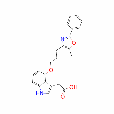 Cc1oc(-c2ccccc2)nc1CCCOc1cccc2[nH]cc(CC(=O)O)c12